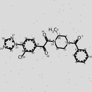 C[C@@H]1CN(C(=O)c2ccccc2)CCN1C(=O)C(=O)c1ccc(-n2cncn2)c(Cl)c1